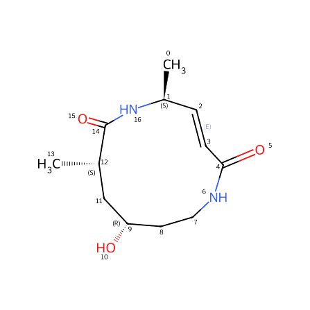 C[C@H]1/C=C/C(=O)NCC[C@H](O)C[C@H](C)C(=O)N1